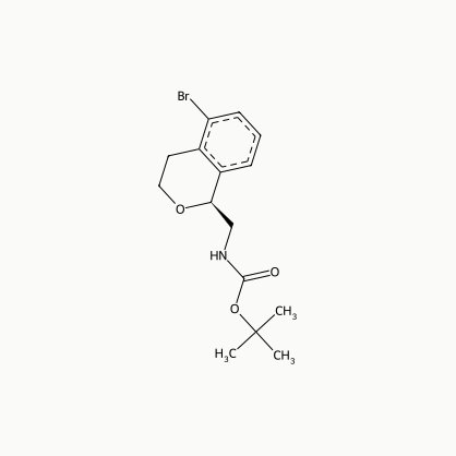 CC(C)(C)OC(=O)NC[C@H]1OCCc2c(Br)cccc21